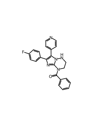 O=C(c1ccccc1)N1CCNn2c1nc(-c1ccc(F)cc1)c2-c1ccncc1